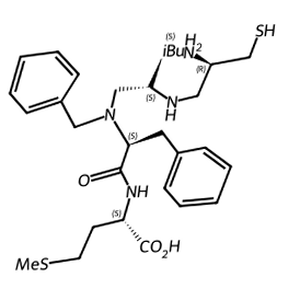 CC[C@H](C)[C@@H](CN(Cc1ccccc1)[C@@H](Cc1ccccc1)C(=O)N[C@@H](CCSC)C(=O)O)NC[C@@H](N)CS